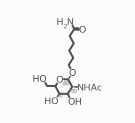 CC(=O)N[C@H]1C(O)[C@@H](O)C(CO)O[C@H]1OCCCCCC(N)=O